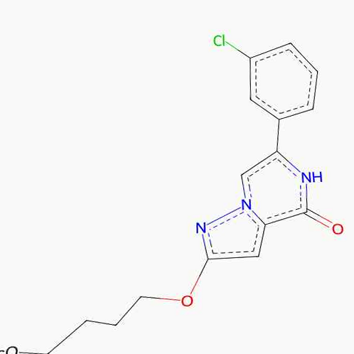 CC(=O)OCCCCOc1cc2c(=O)[nH]c(-c3cccc(Cl)c3)cn2n1